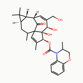 CC1=CC23C(=O)[C@@H](C=C(CO)[C@@H](O)[C@]2(O)[C@H]1OC(=O)N1c2ccccc2OCC1C)[C@@H]1[C@@H](CC3C)C1(C)C